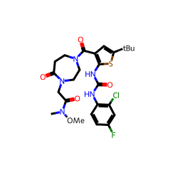 CON(C)C(=O)CN1CCN(C(=O)c2cc(C(C)(C)C)sc2NC(=O)Nc2ccc(F)cc2Cl)CCC1=O